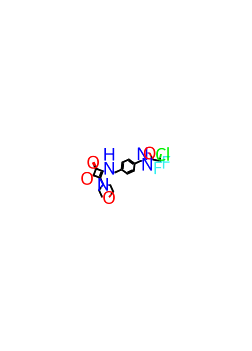 O=c1c(NCc2ccc(-c3noc(C(F)(F)Cl)n3)cc2)c(N2CCOCC2)c1=O